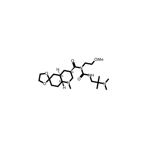 COCCN(C(=O)NCC(C)(C)N(C)C)C(=O)[C@@H]1C[C@@H]2CC3(CC[C@H]2N(C)C1)OCCO3